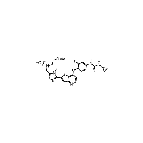 COCCN(Cc1cnc(-c2cc3nccc(Oc4ccc(NC(=O)NC5CC5)cc4F)c3s2)n1C)C(=O)O